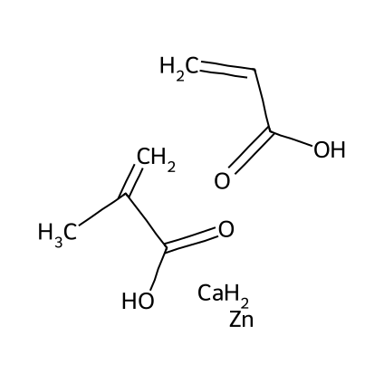 C=C(C)C(=O)O.C=CC(=O)O.[CaH2].[Zn]